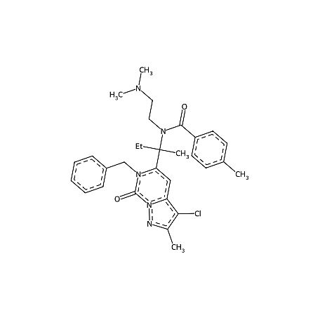 CCC(C)(c1cc2c(Cl)c(C)nn2c(=O)n1Cc1ccccc1)N(CCN(C)C)C(=O)c1ccc(C)cc1